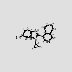 Clc1ccc2nc(-c3cncc4ccccc34)n(C3CC3)c2c1